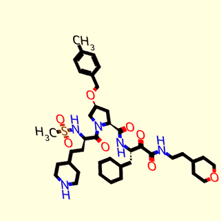 Cc1ccc(CO[C@@H]2C[C@@H](C(=O)N[C@@H](CC3CCCCC3)C(=O)C(=O)NCCC3CCOCC3)N(C(=O)[C@@H](CCC3CCNCC3)NS(C)(=O)=O)C2)cc1